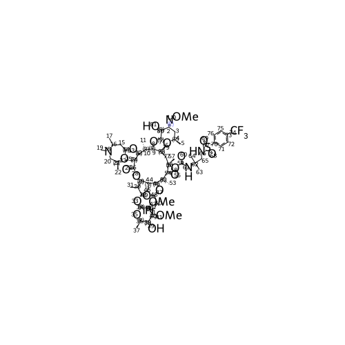 CO/N=C1\C[C@@H](C)O[C@@H](O[C@@H]2[C@@H](C)[C@H](O[C@H]3CC(C)N(C)C[C@H](C)O3)[C@@H](C)C(=O)O[C@H](C(C)CO[C@@H]3O[C@H](C)[C@@H](O)[C@@H](OC)[C@H]3OC)[C@H](C)[C@@H](OC(=O)CC(C)C)[C@@H](C)C(=O)[C@@](C)(OC(=O)NC(C)(C)CNS(=O)(=O)c3ccc(C(F)(F)F)cc3)C[C@@H]2C)[C@@H]1O